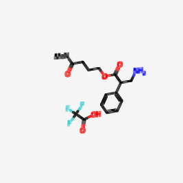 CNC(=O)CCCOC(=O)C(CN)c1ccccc1.O=C(O)C(F)(F)F